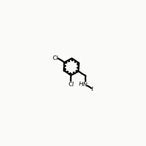 Clc1ccc(CNI)c(Cl)c1